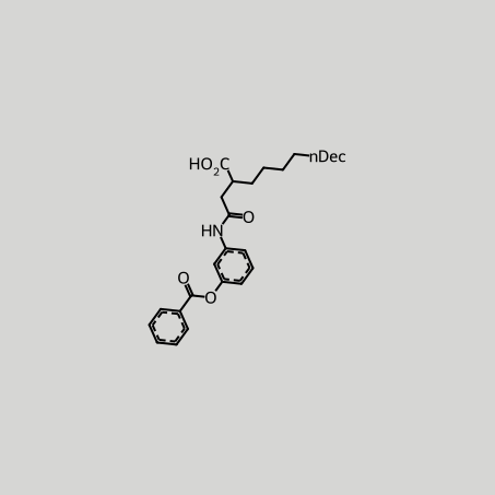 CCCCCCCCCCCCCCC(CC(=O)Nc1cccc(OC(=O)c2ccccc2)c1)C(=O)O